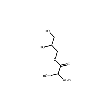 CCCCCCCCC(CCCCCC)C(=O)OCC(O)CO